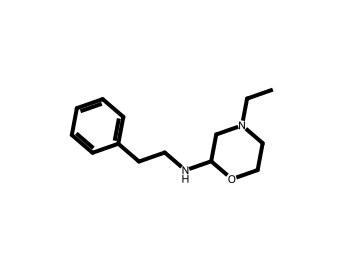 CCN1CCOC(NCCc2ccccc2)C1